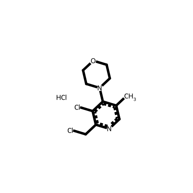 Cc1cnc(CCl)c(Cl)c1N1CCOCC1.Cl